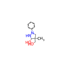 CC1(CO)CN(c2ccccc2)NC1O